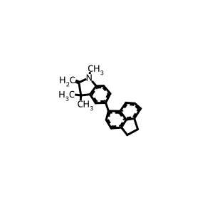 C=C1N(C)c2ccc(-c3ccc4c5c(cccc35)CC4)cc2C1(C)C